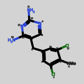 CNc1c(Cl)cc(Cc2cnc(N)nc2N)cc1Cl